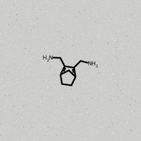 NCC1=C2CCC(=C1CN)C2